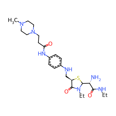 CCNC(=O)[C@@H](N)C1S[C@H](CNc2ccc(NC(=O)CCN3CCN(C)CC3)cc2)C(=O)N1CC